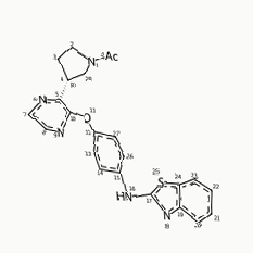 CC(=O)N1CC[C@@H](c2nccnc2Oc2ccc(Nc3nc4ccccc4s3)cc2)C1